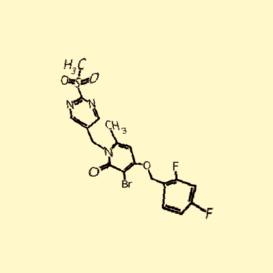 Cc1cc(OCc2ccc(F)cc2F)c(Br)c(=O)n1Cc1cnc(S(C)(=O)=O)nc1